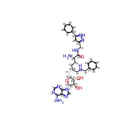 Nc1ncnc2c1ncn2[C@@H]1O[C@H](C[C@H](CC[C@H](N)C(=O)NCc2cc(-c3ccccc3)[nH]n2)CNCc2ccccc2)[C@H](O)C1O